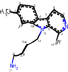 Cc1ccc2c3ccnc(C(C)C)c3n(CCCCN)c2c1